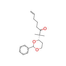 C=CCCCC(=O)C(C)(C)[C@@H]1CCOC(c2ccccc2)O1